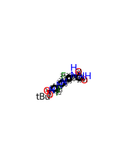 CC(C)(C)OC(=O)N1CCC(N2CCN(c3ccc(NC4CCC(=O)NC4=O)cc3F)CC2)C(F)(F)C1